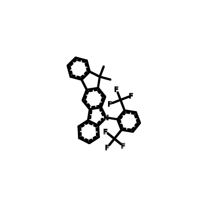 CC1(C)c2ccccc2-c2cc3c4ccccc4n(-c4c(C(F)(F)F)cccc4C(F)(F)F)c3cc21